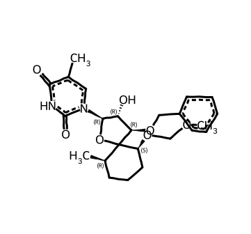 COCO[C@H]1CCC[C@@H](C)C12O[C@@H](n1cc(C)c(=O)[nH]c1=O)[C@H](O)[C@H]2OCc1ccccc1